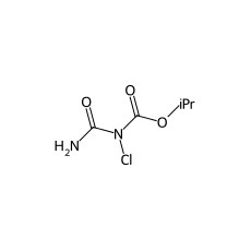 CC(C)OC(=O)N(Cl)C(N)=O